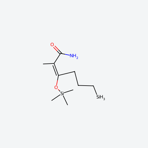 CC(C(N)=O)=C(CCC[SiH3])O[Si](C)(C)C